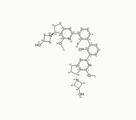 COc1nc(-c2cccc(-c3cccc(-c4cc5c(c(OC)n4)[C@@H](N4CC(O)C4)CC5)c3F)c2Cl)cc2c1[C@H](N1CC(O)C1)CC2